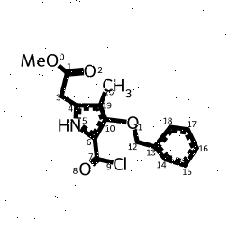 COC(=O)Cc1[nH]c(C(=O)Cl)c(OCc2ccccc2)c1C